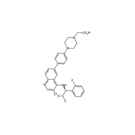 O=C(O)CN1CCN(c2ccc(-c3ccc4ncc(Cl)c(N[C@@H](c5ccccc5F)C(F)F)c4c3)cc2)CC1